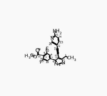 CCc1ncnc(-c2cc(F)c(C(=O)OC)c(F)c2)c1C#Cc1ccc(N)nc1